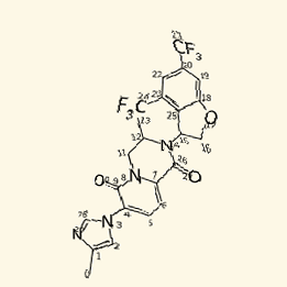 Cc1cn(-c2ccc3n(c2=O)CC(C)N(C2COc4cc(C(F)(F)F)cc(C(F)(F)F)c42)C3=O)cn1